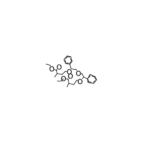 CCOC(=O)C(C)CCOC(COCC(OCCC(C)C(=O)OCC)c1ccccc1)c1ccccc1